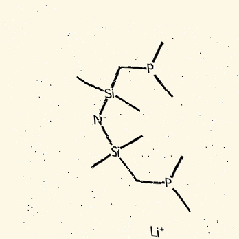 CP(C)C[Si](C)(C)[N-][Si](C)(C)CP(C)C.[Li+]